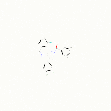 CN(Cc1ccc(C(F)(F)F)c(F)c1)[C@@H]1CN(C(=O)c2cccc(C#N)c2)C[C@@H]1c1ccc(Cl)c(Cl)c1